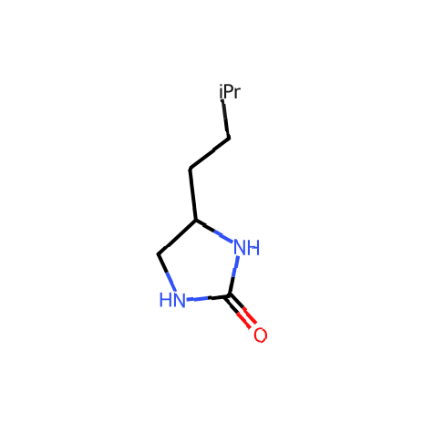 CC(C)CCC1CNC(=O)N1